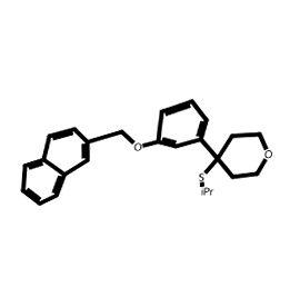 CC(C)SC1(c2cccc(OCc3ccc4ccccc4c3)c2)CCOCC1